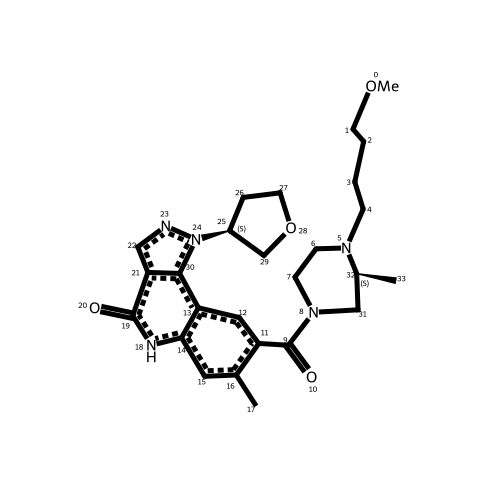 COCCCCN1CCN(C(=O)c2cc3c(cc2C)[nH]c(=O)c2cnn([C@H]4CCOC4)c23)C[C@@H]1C